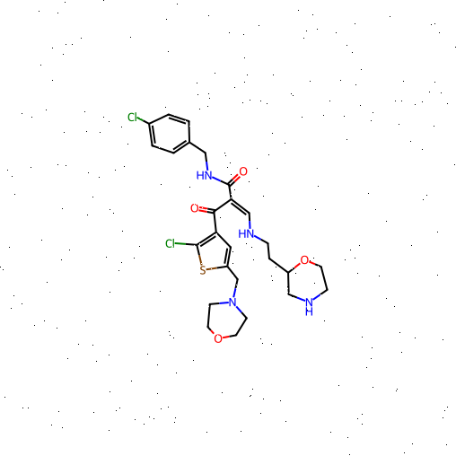 O=C(NCc1ccc(Cl)cc1)C(=CNCCC1CNCCO1)C(=O)c1cc(CN2CCOCC2)sc1Cl